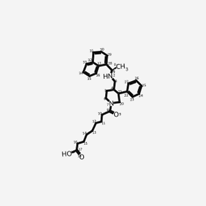 C[C@@H](NCC1CCN(C(=O)CCCCCCCC(=O)O)CC1c1ccccc1)c1cccc2ccccc12